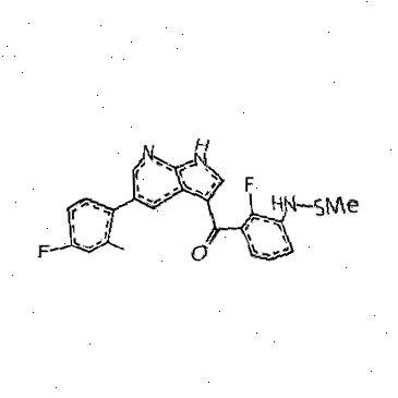 CSNc1cccc(C(=O)c2c[nH]c3ncc(-c4ccc(F)cc4C)cc23)c1F